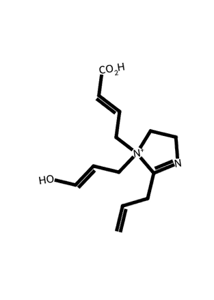 C=CCC1=NCC[N+]1(CC=CO)CC=CC(=O)O